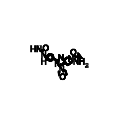 CNC(=O)Nc1ccc(-c2nc3c(c(N4CCOCC4)n2)CCN(C(=O)C2(N)CC2)C3)cc1